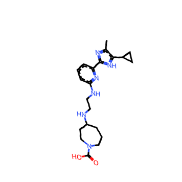 Cc1nc(-c2cccc(NCCNC3CCCN(C(=O)O)CC3)n2)[nH]c1C1CC1